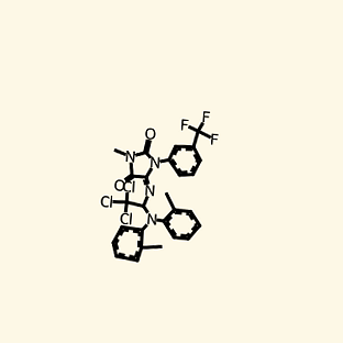 Cc1ccccc1N(c1ccccc1C)C(/N=C1\C(=O)N(C)C(=O)N1c1cccc(C(F)(F)F)c1)C(Cl)(Cl)Cl